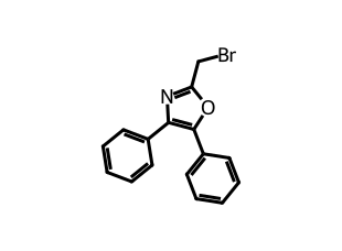 BrCc1nc(-c2ccccc2)c(-c2ccccc2)o1